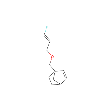 FC=CCOCC12C=CC(CC1)C2